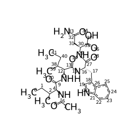 CCC(C)[C@H](NC(C)=O)C(=O)N[C@H](C(=O)N[C@@H](Cc1c[nH]c2ccccc12)C(=O)N[C@@H](CC(N)=O)C(=O)O)C(C)CC